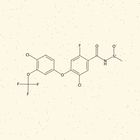 C[S+]([O-])NC(=O)c1cc(Cl)c(Oc2ccc(Cl)c(OC(F)(F)F)c2)cc1F